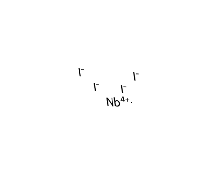 [I-].[I-].[I-].[I-].[Nb+4]